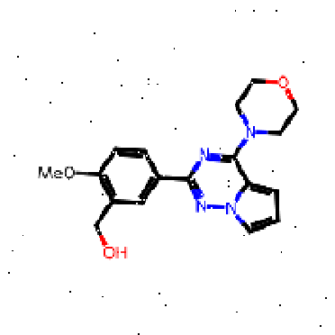 COc1ccc(-c2nc(N3CCOCC3)c3cccn3n2)cc1CO